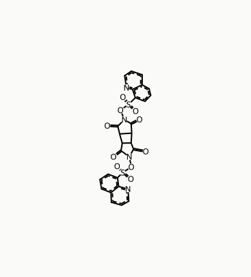 O=C1C2C(C(=O)N1OS(=O)(=O)c1cccc3cccnc13)C1C(=O)N(OS(=O)(=O)c3cccc4cccnc34)C(=O)C21